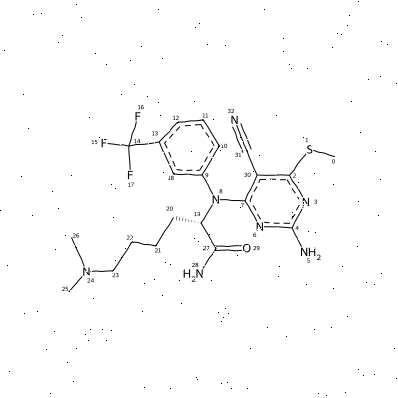 CSc1nc(N)nc(N(c2cccc(C(F)(F)F)c2)[C@@H](CCCCN(C)C)C(N)=O)c1C#N